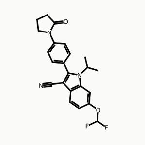 CC(C)n1c(-c2ccc(N3CCCC3=O)cc2)c(C#N)c2ccc(OC(F)F)cc21